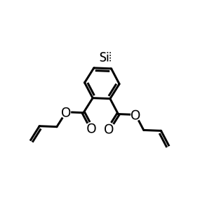 C=CCOC(=O)c1ccccc1C(=O)OCC=C.[Si]